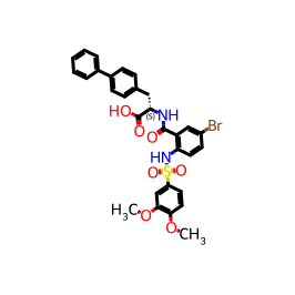 COc1ccc(S(=O)(=O)Nc2ccc(Br)cc2C(=O)N[C@@H](Cc2ccc(-c3ccccc3)cc2)C(=O)O)cc1OC